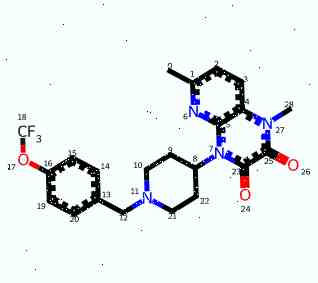 Cc1ccc2c(n1)n(C1CCN(Cc3ccc(OC(F)(F)F)cc3)CC1)c(=O)c(=O)n2C